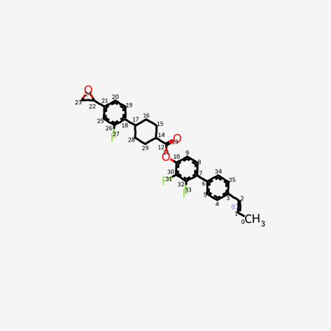 C/C=C/c1ccc(-c2ccc(OC(=O)C3CCC(c4ccc(C5CO5)cc4F)CC3)c(F)c2F)cc1